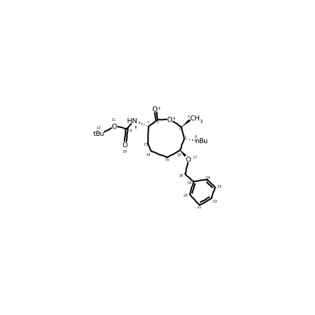 CCCC[C@H]1[C@H](C)OC(=O)[C@@H](NC(=O)OC(C)(C)C)CCC[C@@H]1OCc1ccccc1